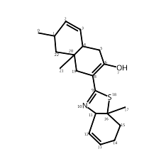 CC1C=CC2CC(O)=C(C3=NC4C=CCCC4(C)S3)CC2(C)C1